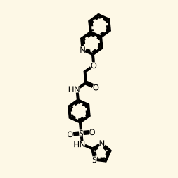 O=C(COc1cc2ccccc2cn1)Nc1ccc(S(=O)(=O)Nc2nccs2)cc1